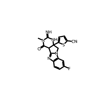 CN1C(=N)NC2(c3ccc(C#N)s3)Cn3c(nc4ccc(F)cc43)C2C1=O